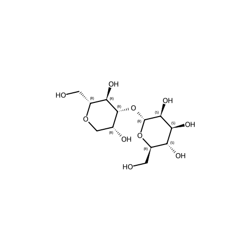 OC[C@H]1O[C@H](O[C@H]2[C@H](O)[C@@H](CO)OC[C@H]2O)[C@@H](O)[C@@H](O)[C@@H]1O